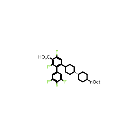 CCCCCCCC[C@H]1CC[C@H](C2CCC(c3cc(F)c(C(=O)O)c(F)c3-c3cc(F)c(F)c(F)c3)CC2)CC1